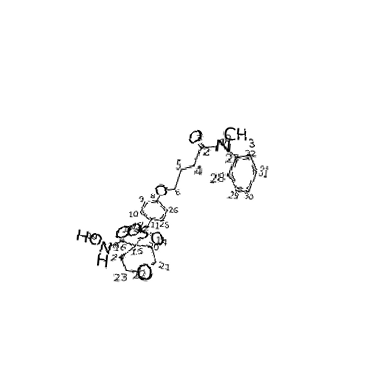 CN(C(=O)CCCOc1ccc(S(=O)(=O)C2(C(=O)NO)CCOCC2)cc1)c1ccccc1